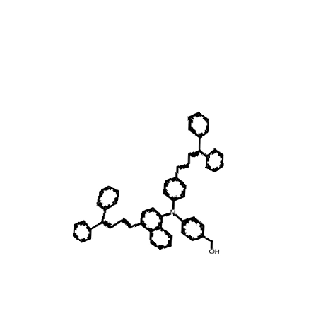 OCc1ccc(N(c2ccc(/C=C/C=C(c3ccccc3)c3ccccc3)cc2)c2ccc(/C=C/C=C(c3ccccc3)c3ccccc3)c3ccccc23)cc1